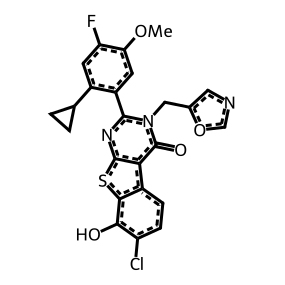 COc1cc(-c2nc3sc4c(O)c(Cl)ccc4c3c(=O)n2Cc2cnco2)c(C2CC2)cc1F